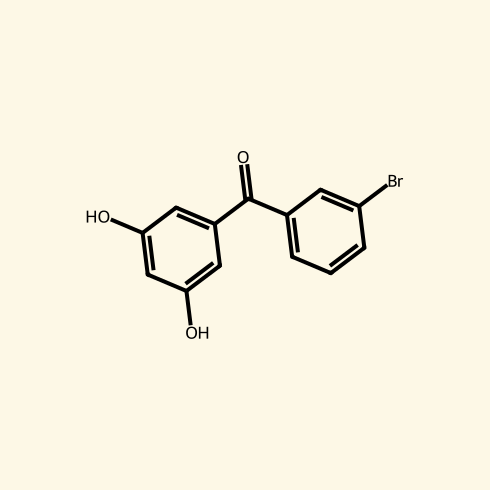 O=C(c1cc(O)cc(O)c1)c1cccc(Br)c1